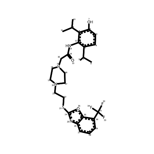 CC(C)c1ccc(O)c(C(C)C)c1NC(=O)CN1CCN(CCSc2nc3cccc(C(F)(F)F)c3o2)CC1